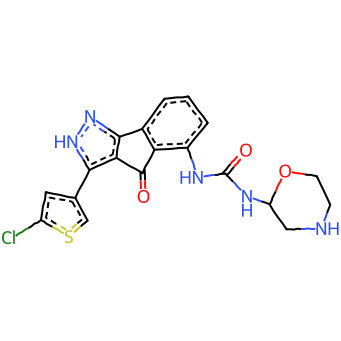 O=C(Nc1cccc2c1C(=O)c1c-2n[nH]c1-c1csc(Cl)c1)NC1CNCCO1